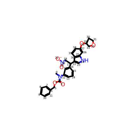 CN(C(=O)OCc1ccccc1)c1cccc(C(C[N+](=O)[O-])c2c[nH]c3cc(OC4CCOC4)ccc23)c1